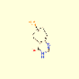 O=c1[nH]cnc2c1=CC[C@@H](P)CC=2